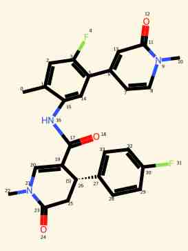 Cc1cc(F)c(-c2ccn(C)c(=O)c2)cc1NC(=O)C1=CN(C)C(=O)C[C@H]1c1ccc(F)cc1